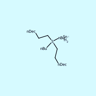 CCCCCCCCCCCCS(CCCC)(CCCC)CCCCCCCCCCCC.[SnH2]